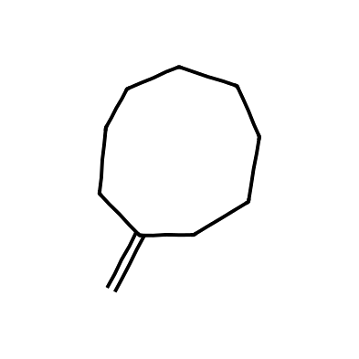 C=C1CCCCCCCC1